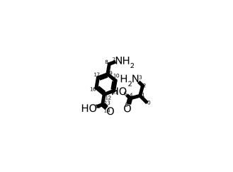 CC(CN)C(=O)O.NCc1ccc(C(=O)O)cc1